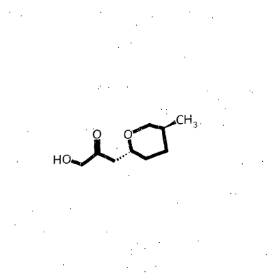 C[C@H]1CC[C@H](CC(=O)CO)OC1